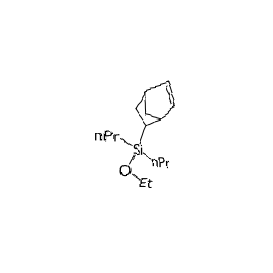 CCC[Si](CCC)(OCC)C1CC2C=CC1C2